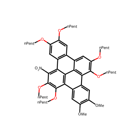 CCCCCOc1cc2c(cc1OCCCCC)c1c([N+](=O)[O-])c(OCCCCC)c(OCCCCC)c3c4cc(OC)c(OC)cc4c4c(OCCCCC)c(OCCCCC)cc2c4c13